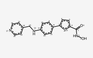 O=C(NO)c1ccc(-c2ccc(NCc3ccncc3)cc2)s1